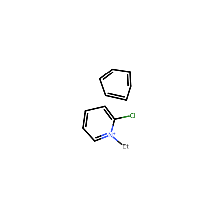 CC[n+]1ccccc1Cl.c1ccccc1